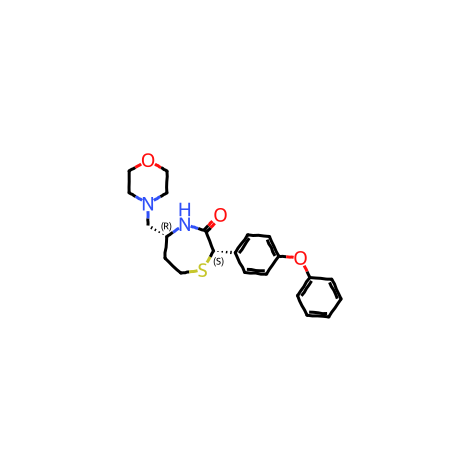 O=C1N[C@@H](CN2CCOCC2)CCS[C@H]1c1ccc(Oc2ccccc2)cc1